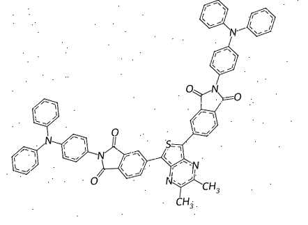 Cc1nc2c(-c3ccc4c(c3)C(=O)N(c3ccc(N(c5ccccc5)c5ccccc5)cc3)C4=O)sc(-c3ccc4c(c3)C(=O)N(c3ccc(N(c5ccccc5)c5ccccc5)cc3)C4=O)c2nc1C